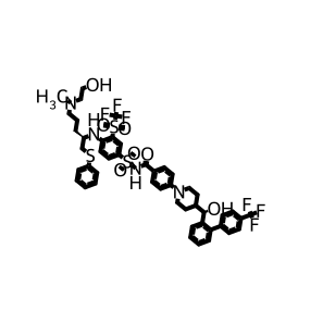 CN(CCO)CCC[C@H](CSc1ccccc1)Nc1ccc(S(=O)(=O)NC(=O)c2ccc(N3CCC([C@@H](O)c4ccccc4-c4ccc(C(F)(F)F)cc4)CC3)cc2)cc1S(=O)(=O)C(F)(F)F